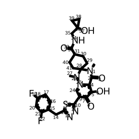 CN1C(=O)c2c(O)c(=O)c(-c3nnc(Cc4ccc(F)cc4F)s3)cn2N(C)C12CCC(C(=O)NCC1(O)CC1)CC2